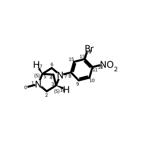 CN1C[C@@H]2C[C@H]1CN2c1ccc([N+](=O)[O-])c(Br)c1